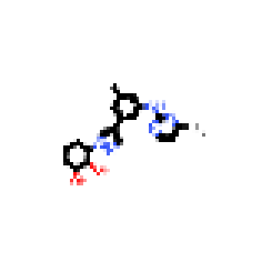 Cc1cc(Nc2nccc(C(F)(F)F)n2)cc(-c2cnn(C3CCCC(O)C3O)c2)c1